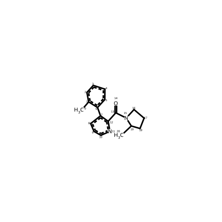 Cc1ccccc1-c1cccnc1C(=O)N1CCCC1C